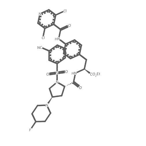 CCOC(=O)[C@H](Cc1ccc(NC(=O)c2c(Cl)cncc2Cl)cc1)NC(=O)[C@@H]1C[C@@H](N2CCC(F)CC2)CN1S(=O)(=O)c1cccc(C#N)c1